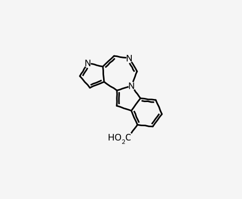 O=C(O)c1cccc2c1cc1c3ccnc-3cncn12